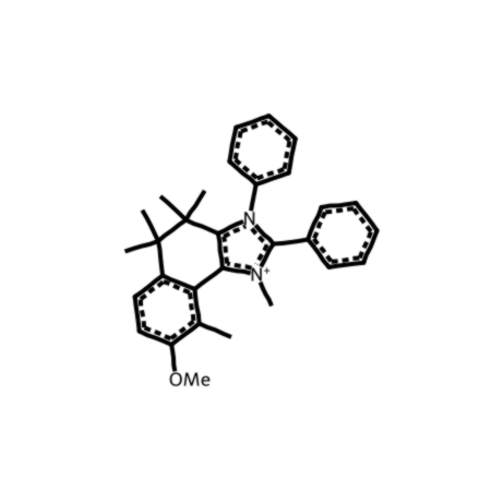 COc1ccc2c(c1C)-c1c(n(-c3ccccc3)c(-c3ccccc3)[n+]1C)C(C)(C)C2(C)C